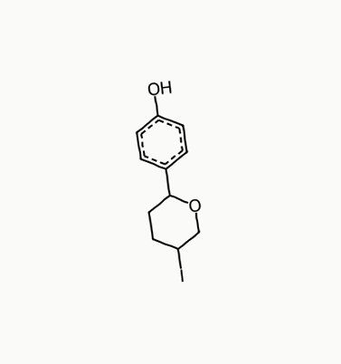 Oc1ccc(C2CCC(I)CO2)cc1